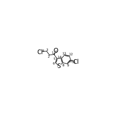 O=C(CCCl)c1csc2cc(Cl)ccc12